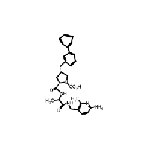 Cc1nc(N)ccc1CNC(=O)C(C)NC(=O)[C@H]1C[C@H](Cc2cccc(-c3ccccc3)c2)CN1C(=O)O